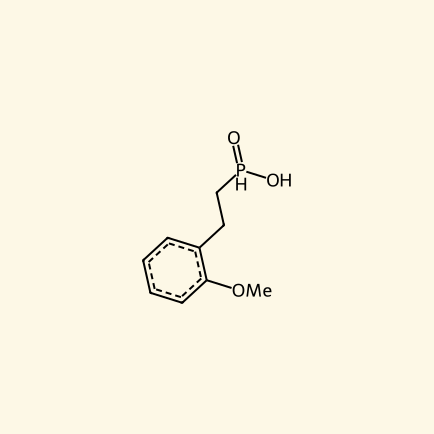 COc1ccccc1CC[PH](=O)O